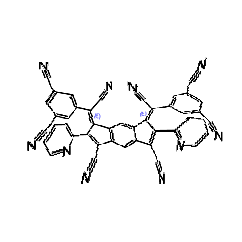 N#CC1=C(C2=NC=CCC2)/C(=C(/C#N)c2cc(C#N)cc(C#N)c2)c2cc3c(cc21)C(C#N)=C(c1ccccn1)/C3=C(/C#N)c1cc(C#N)cc(C#N)c1